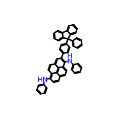 c1ccc(Nc2ccc3ccc4c(Nc5ccccc5)c(-c5ccc(C6(c7ccccc7)c7ccccc7-c7ccccc76)cc5)cc5ccc2c3c54)cc1